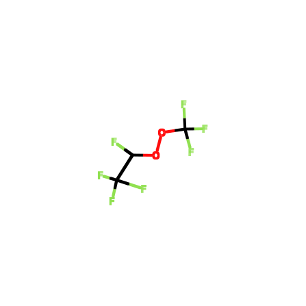 FC(OOC(F)(F)F)C(F)(F)F